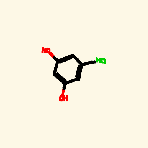 Cc1cc(O)cc(O)c1.Cl